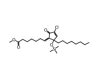 CCCCCCCCC1(O[Si](C)(C)C)C=C(Cl)C(=O)C1=CCCCCCC(=O)OC